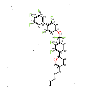 CCCCCC1=COC(c2ccc(C(F)(F)Oc3cc(F)c(-c4cc(F)c(F)c(F)c4)c(F)c3)c(F)c2F)CC1